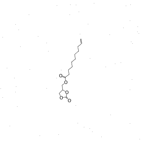 C=CCCCCCCCCC(=O)OCC1COC(=O)O1